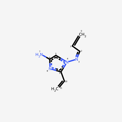 C=C/C=N\n1cc(N)nc1C=C